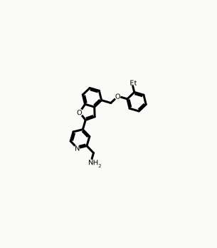 CCc1ccccc1OCc1cccc2oc(-c3ccnc(CN)c3)cc12